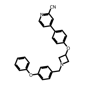 N#Cc1cc(-c2ccc(OC3CN(Cc4ccc(Oc5ccccc5)cc4)C3)cc2)ccn1